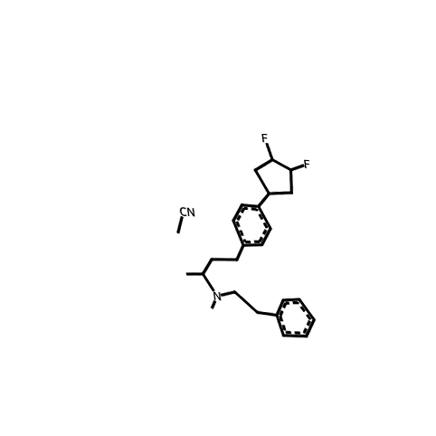 CC#N.CC(CCc1ccc(C2CC(F)C(F)C2)cc1)N(C)CCc1ccccc1